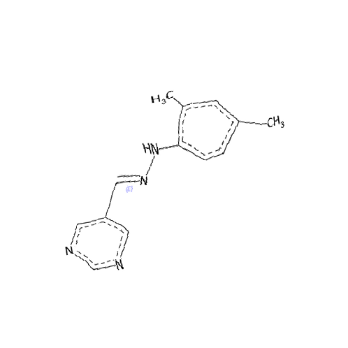 Cc1ccc(N/N=C/c2cncnc2)c(C)c1